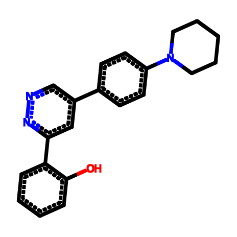 Oc1ccccc1-c1cc(-c2ccc(N3CCCCC3)cc2)cnn1